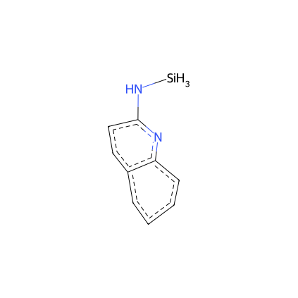 [SiH3]Nc1ccc2ccccc2n1